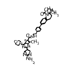 CC(=O)N1c2ccc(-c3ccc(CCNC(=O)c4sc5c(N6CCOCC6)nc(-c6cnc(N)nc6)nc5c4C)cc3)cc2CCC1(C)C